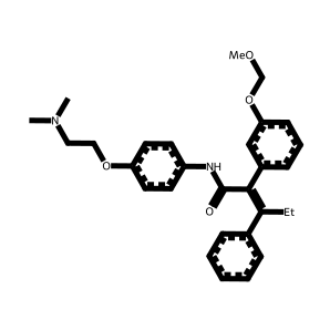 CCC(=C(C(=O)Nc1ccc(OCCN(C)C)cc1)c1cccc(OCOC)c1)c1ccccc1